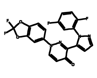 O=c1ccn(-c2ccc3c(c2)OC(F)(F)O3)nc1-c1ccnn1-c1cc(F)ccc1F